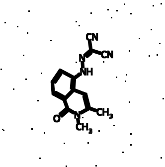 Cc1cc2c(NN=C(C#N)C#N)cccc2c(=O)n1C